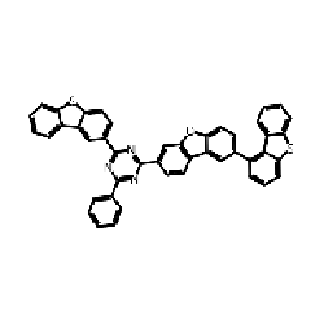 c1ccc(-c2nc(-c3ccc4c(c3)oc3ccc(-c5cccc6sc7ccccc7c56)cc34)nc(-c3ccc4sc5ccccc5c4c3)n2)cc1